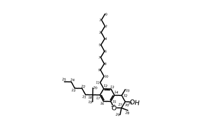 CCCCCCCCCCCCc1cc2c(cc1C(C)(C)CCCCC)OC(C)(C)C(O)C2C